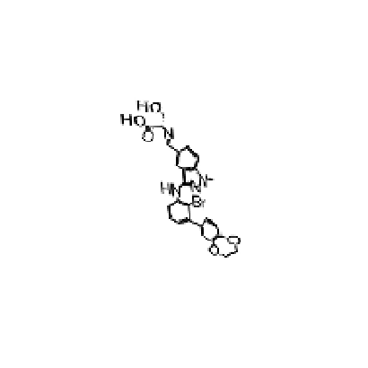 Cn1nc(Nc2cccc(-c3ccc4c(c3)OCCO4)c2Br)c2cc(C=N[C@@H](CO)C(=O)O)ccc21